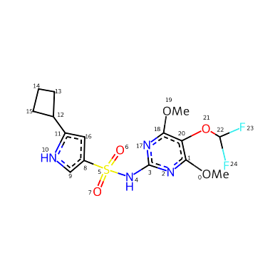 COc1nc(NS(=O)(=O)c2c[nH]c(C3CCC3)c2)nc(OC)c1OC(F)F